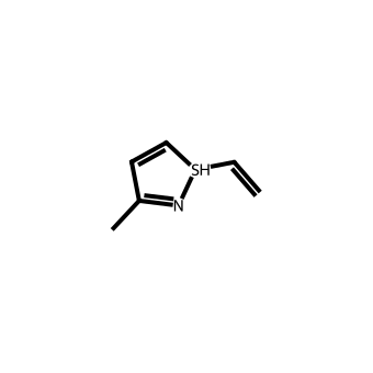 C=C[SH]1C=CC(C)=N1